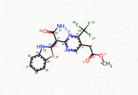 COC(=O)Cc1cnc(/C(C(N)=O)=C2/Nc3ccccc3S2)nc1C(F)(F)F